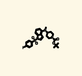 CN(c1cccc2c1ccn2S(=O)(=O)c1ccc(F)cc1)C1CCN(C(=O)OC(C)(C)C)CC1